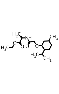 C=C(NC(=O)COC1CC(C)CCC1C(C)C)C(=O)OCC